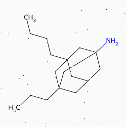 CCCCC12CC3CC(N)(CC(CCC)(C3)C1)C2